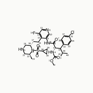 COC(=O)N[C@H](C(=O)Nc1cncc(F)c1CC[C@H]1CNC[C@H](C)N1S(=O)(=O)C1CC1)C(c1ccc(Cl)cc1)C(C)C